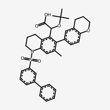 Cc1cc2c(c(C(OC(C)(C)C)C(=O)O)c1-c1ccc3c(c1)CCCO3)CCCN2S(=O)(=O)c1cccc(-c2ccccc2)c1